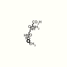 Cc1ccc2nc(NC(=O)CCCNC(=O)[C@@H](N)CCC(=O)O)sc2c1